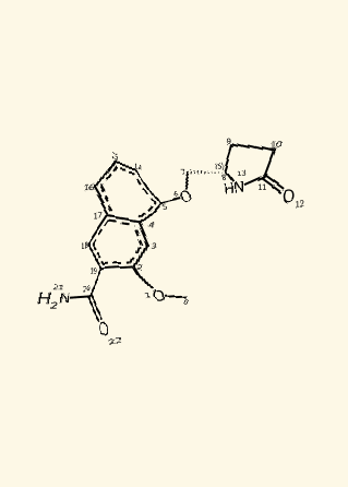 COc1cc2c(OC[C@@H]3CCC(=O)N3)cccc2cc1C(N)=O